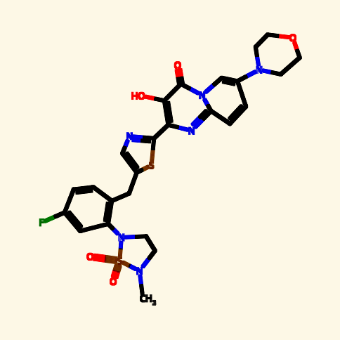 CN1CCN(c2cc(F)ccc2Cc2cnc(-c3nc4ccc(N5CCOCC5)cn4c(=O)c3O)s2)S1(=O)=O